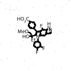 CCC(O)(COC)c1c(-c2ccc(C(=O)O)cc2)c2c(F)c3[nH]ncc3cc2n1-c1ccc(F)c(F)c1